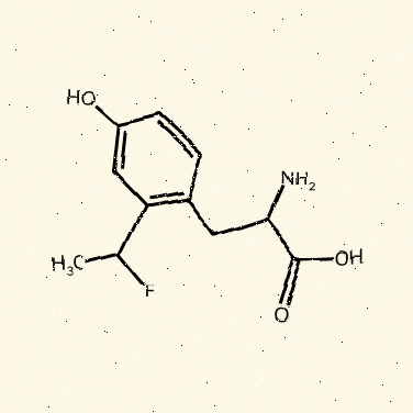 CC(F)c1cc(O)ccc1CC(N)C(=O)O